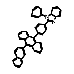 C1=CC2N=C(c3ccc(-c4c5ccccc5c(-c5ccc6ccccc6c5)c5ccccc45)cc3)N(c3ccccc3)C2C=C1